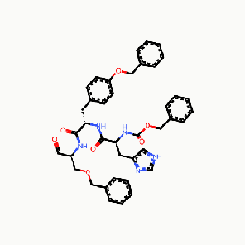 O=[C][C@H](COCc1ccccc1)NC(=O)[C@H](Cc1ccc(OCc2ccccc2)cc1)NC(=O)[C@H](Cc1c[nH]cn1)NC(=O)OCc1ccccc1